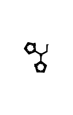 [CH2]CN(c1cccs1)c1cccs1